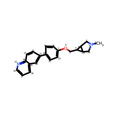 CN1CC2C(COc3ccc(-c4ccc5ncccc5c4)cc3)C2C1